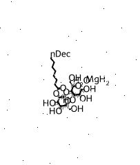 CCCCCCCCCCCCCCCCCC(=O)O[C@H]1[C@H](O[C@H]2[C@H](O)[C@@H](O)[C@H](O)O[C@@H]2CO)O[C@H](CO)[C@H](O)[C@@H]1O.O.[MgH2]